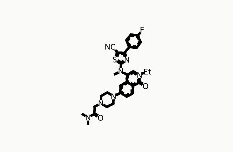 CCn1cc(N(C)c2nc(-c3ccc(F)cc3)c(C#N)s2)c2cc(N3CCN(CC(=O)N(C)C)CC3)ccc2c1=O